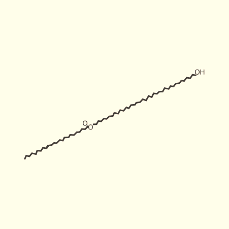 CCCCCCCCC=CCCCCCCCCCCCCCC(=O)OCCCCCCCCCCCCCCCCCCCCCCCCCCCCCCCCCCCCCCO